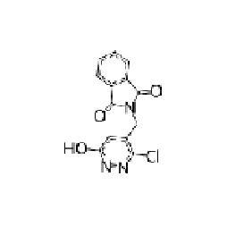 O=C1c2ccccc2C(=O)N1Cc1cc(O)nnc1Cl